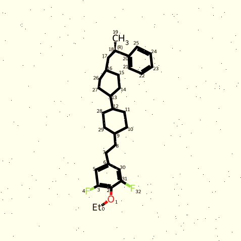 CCOc1c(F)cc(CCC2CCC(C3CCC(C[C@@H](C)c4ccccc4)CC3)CC2)cc1F